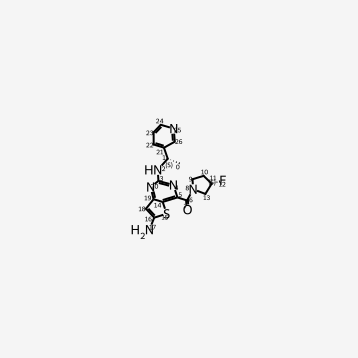 C[C@H](Nc1nc(C(=O)N2CC[C@H](F)C2)c2sc(N)cc2n1)c1cccnc1